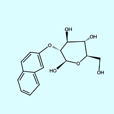 OC[C@H]1O[C@@H](O)[C@H](Oc2ccc3ccccc3c2)[C@@H](O)[C@@H]1O